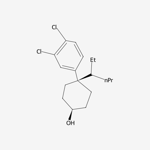 CCCC(CC)[C@]1(c2ccc(Cl)c(Cl)c2)CC[C@H](O)CC1